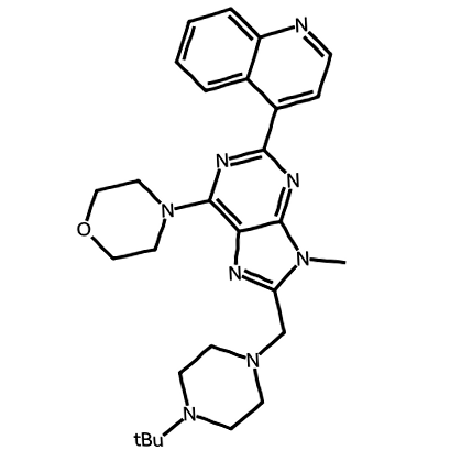 Cn1c(CN2CCN(C(C)(C)C)CC2)nc2c(N3CCOCC3)nc(-c3ccnc4ccccc34)nc21